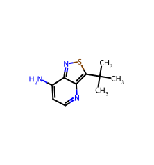 CC(C)(C)c1snc2c(N)ccnc12